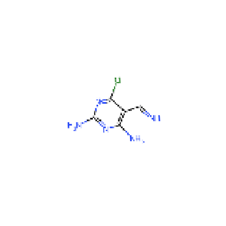 N=Cc1c(N)nc(N)nc1Cl